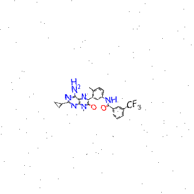 Cc1ccc(NC(=O)c2cccc(C(F)(F)F)c2)cc1-c1nc2c(N)nc(C3CC3)nc2n(C)c1=O